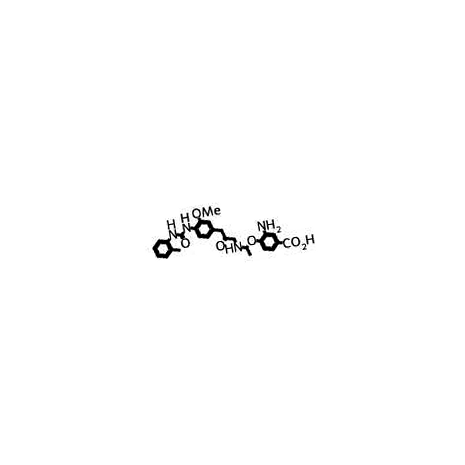 COc1cc(CC(=O)CNC(C)Oc2ccc(C(=O)O)cc2N)ccc1NC(=O)Nc1ccccc1C